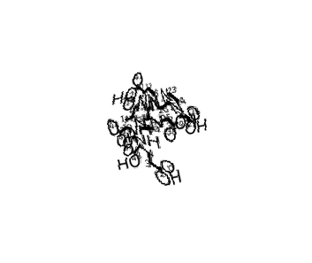 O=C(O)CC[C@H](NC(=O)N[C@@H](CCC(=O)NC(/C=C\N(Cc1nccn1CC(=O)O)Cc1nccn1CC(=O)O)C(=O)O)C(=O)O)C(=O)O